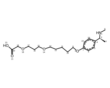 CN[C@@H](C)c1ccc(OCCCCCOCCCOCC(=O)O)cc1